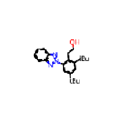 CCC(C)c1cc(C(C)(C)C)cc(-n2nc3ccccc3n2)c1CCO